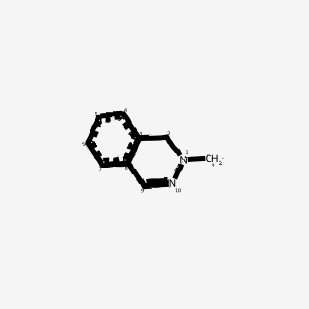 [CH2]N1Cc2ccccc2C=N1